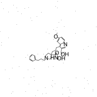 COc1ccc2ncc(CO)c(CCCC3(C(=O)NO)CCN(CCCc4ccccc4)CC3)c2c1